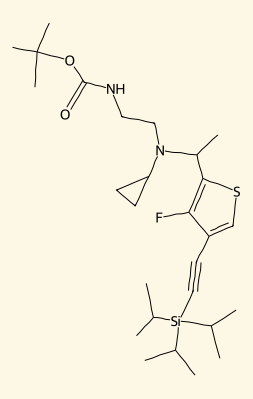 CC(c1scc(C#C[Si](C(C)C)(C(C)C)C(C)C)c1F)N(CCNC(=O)OC(C)(C)C)C1CC1